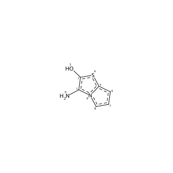 Nc1c(O)sc2cccn12